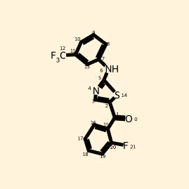 O=C(c1cnc(Nc2cccc(C(F)(F)F)c2)s1)c1ccccc1F